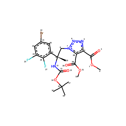 COC(=O)c1nnn(C[C@](C)(NC(=O)OC(C)(C)C)c2cc(Br)cc(F)c2F)c1C(=O)OC